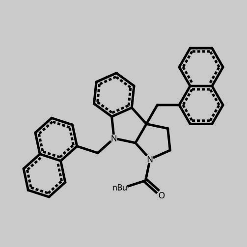 CCCCC(=O)N1CCC2(Cc3cccc4ccccc34)c3ccccc3N(Cc3cccc4ccccc34)C12